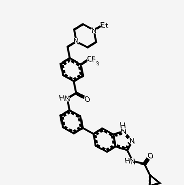 CCN1CCN(Cc2ccc(C(=O)Nc3cccc(-c4ccc5c(NC(=O)C6CC6)n[nH]c5c4)c3)cc2C(F)(F)F)CC1